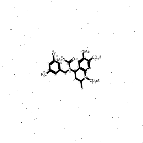 CCOC(=O)N1c2cc(C(=O)O)c(OC)cc2C(N(Cc2cc(C(F)(F)F)cc(C(F)(F)F)c2)C(=O)OC)CC1C